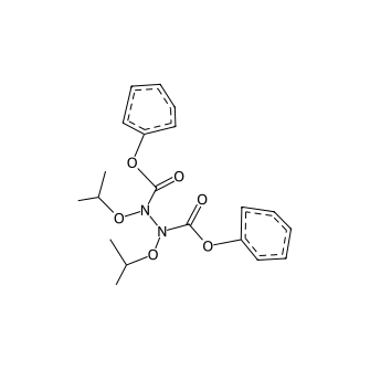 CC(C)ON(C(=O)Oc1ccccc1)N(OC(C)C)C(=O)Oc1ccccc1